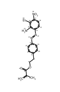 C=C(C)C(=O)OCCc1ccc(N=Nc2ccc([N+](=O)[O-])c(CC)c2N)cc1